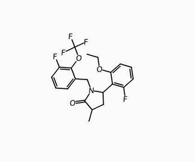 CCOc1cccc(F)c1C1CC(C)C(=O)N1Cc1cccc(F)c1OC(F)(F)F